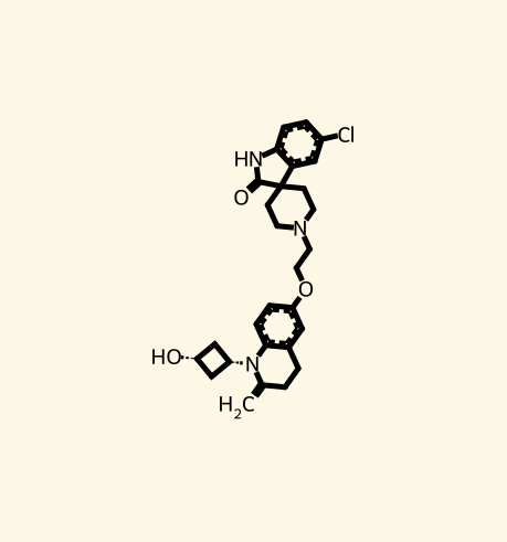 C=C1CCc2cc(OCCN3CCC4(CC3)C(=O)Nc3ccc(Cl)cc34)ccc2N1[C@H]1C[C@@H](O)C1